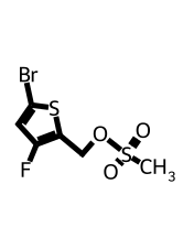 CS(=O)(=O)OCc1sc(Br)cc1F